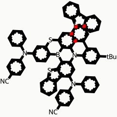 CC(C)(C)c1ccc(N2c3cc(-n4c5ccccc5c5ccccc54)cc4c3B(c3ccc(N(c5ccccc5)c5ccc(C#N)cc5)cc3S4)c3c2cc(N(c2ccccc2)c2ccc(C#N)cc2)c2c3sc3ccccc32)c(-c2ccccc2)c1